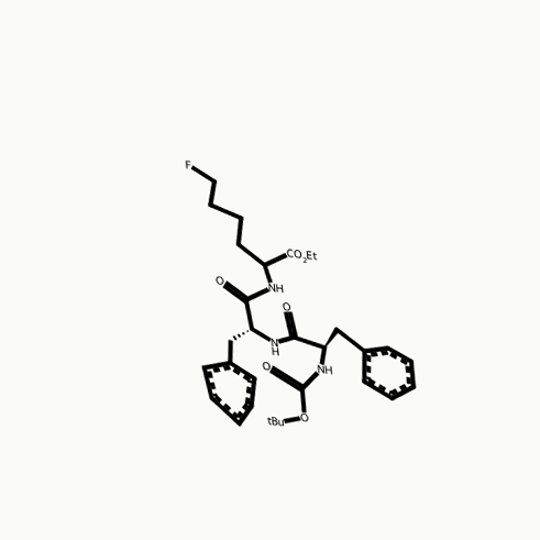 CCOC(=O)C(CCCCF)NC(=O)[C@@H](Cc1ccccc1)NC(=O)[C@@H](Cc1ccccc1)NC(=O)OC(C)(C)C